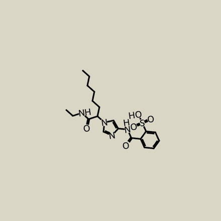 CCCCCCC(C(=O)NCC)n1cnc(NC(=O)c2ccccc2S(=O)(=O)O)c1